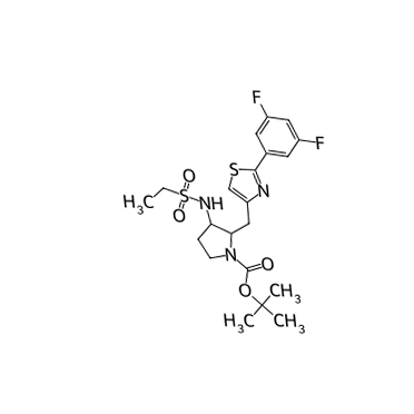 CCS(=O)(=O)NC1CCN(C(=O)OC(C)(C)C)C1Cc1csc(-c2cc(F)cc(F)c2)n1